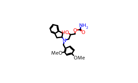 COc1ccc(CN(CC(O)COC(N)=O)C2Cc3ccccc3C2)c(OC)c1